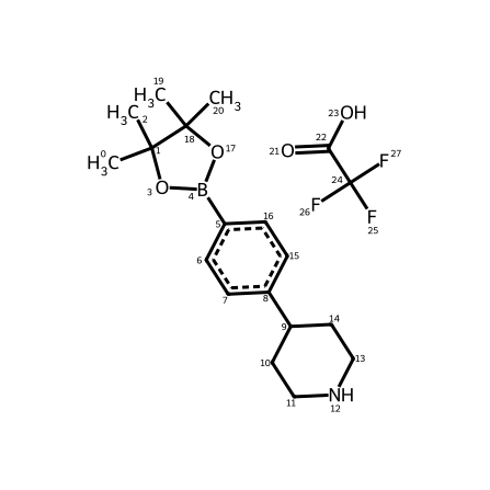 CC1(C)OB(c2ccc(C3CCNCC3)cc2)OC1(C)C.O=C(O)C(F)(F)F